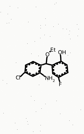 CCOC(c1ccc(Cl)cc1N)c1cc(F)ccc1O